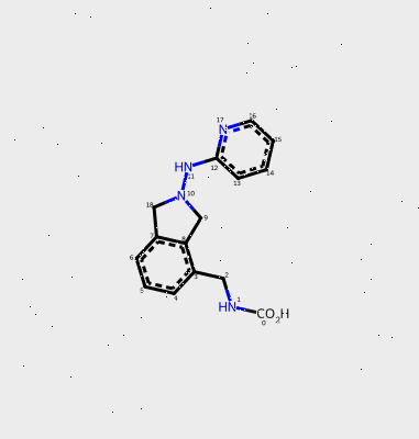 O=C(O)NCc1cccc2c1CN(Nc1ccccn1)C2